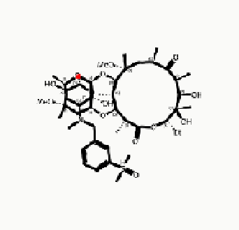 CC[C@@H]1OC(=O)[C@H](C)[C@@H](O[C@H]2C[C@](C)(OC)[C@@H](O)[C@H](C)O2)[C@H](C)[C@@H](O[C@@H]2O[C@H](C)C[C@H](N(C)Cc3cccc([SH](C)(C)=O)c3)[C@H]2O)[C@](C)(OC)C[C@@H](C)C(=O)[C@@H](C)[C@@H](O)[C@]1(C)O